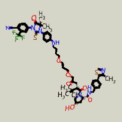 Cc1ncsc1-c1ccc(CNC(=O)[C@@H]2C[C@@H](O)CN2C(=O)[C@@H](CC(=O)COCCCOCCCCNc2ccc(N3C(=S)N(c4ccc(C#N)c(C(F)(F)F)c4)C(=O)C3(C)C)cc2)C(C)(C)C)cc1